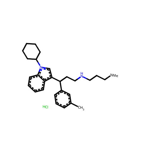 CNCCCNCCC(c1cccc(C)c1)c1cn(C2CCCCC2)c2ccccc12.Cl